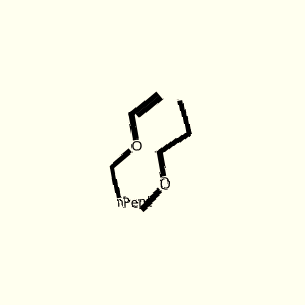 C=COCCCCCC.CC[CH]OC